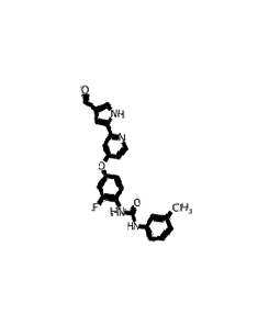 Cc1cccc(NC(=O)Nc2ccc(Oc3ccnc(-c4cc(C=O)c[nH]4)c3)cc2F)c1